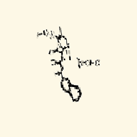 CC1=C(C(=O)O)N2C(=O)C(NC(=O)CNc3ccc4ccccc4c3)[C@@H]2SC1.CN(C)C=O